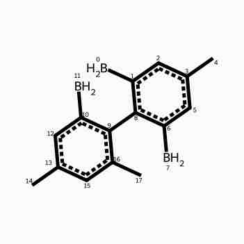 Bc1cc(C)cc(B)c1-c1c(B)cc(C)cc1C